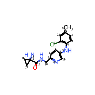 Cc1ccc(Nc2ccc(CNC(=O)C3(N)CC3)nc2)c(Cl)c1